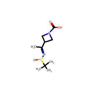 CC(=N[S+]([O-])C(C)(C)C)C1CN(C(=O)O)C1